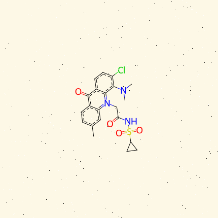 Cc1ccc2c(=O)c3ccc(Cl)c(N(C)C)c3n(CC(=O)NS(=O)(=O)C3CC3)c2c1